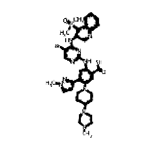 CN1CCN(C2CCN(c3cc(C(=O)S)c(Nc4ncc(Br)c(Nc5cnc6ccccc6c5P(C)(C)=O)n4)cc3-c3ccn(C)n3)CC2)CC1